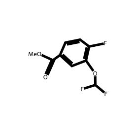 COC(=O)c1ccc(F)c(OC(F)F)c1